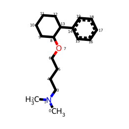 CN(C)CCCCOC1CCCCC1c1ccccc1